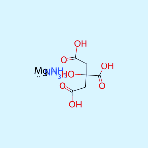 N.N.O=C(O)CC(O)(CC(=O)O)C(=O)O.[Mg]